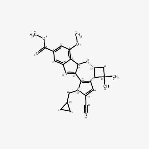 COC(=O)c1cc(OC)c2c(c1)nc(-c1ccc(C#N)n1CC1CC1)n2C[C@H]1C[C@@](C)(O)C1